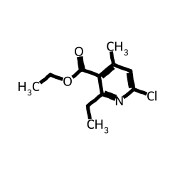 CCOC(=O)c1c(C)cc(Cl)nc1CC